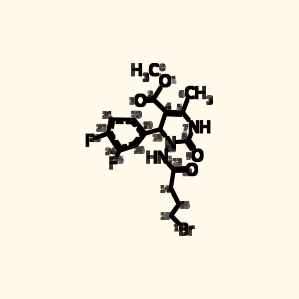 COC(=O)C1=C(C)NC(=O)N(NC(=O)CCCBr)C1c1ccc(F)c(F)c1